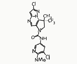 CNc1ncc(NC(=O)N2C[C@@](C)(C(F)(F)F)c3c2cnc2cc(Cl)nn32)cc1Cl